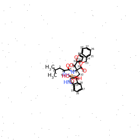 CC(C)C[C@H](N)C(=O)N([C@@](Cc1c[nH]c2ccccc12)(C(=O)OCc1ccccc1)C(=O)c1ccco1)P(=O)(O)O